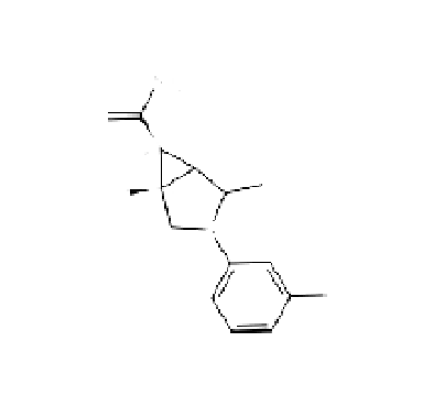 CC1C2[C@H](CN1c1cccc(Cl)c1)[C@H]2C(N)=O